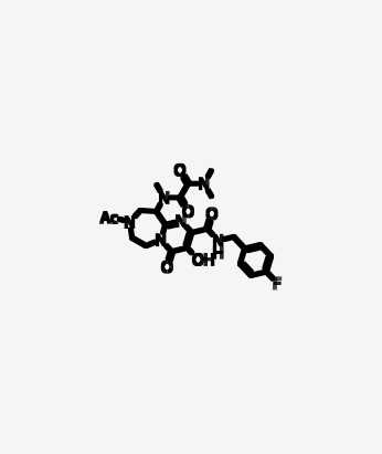 CC(=O)N1CCn2c(nc(C(=O)NCc3ccc(F)cc3)c(O)c2=O)C(N(C)C(=O)C(=O)N(C)C)C1